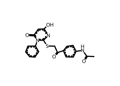 CC(=O)Nc1ccc(C(=O)CSc2nc(O)cc(=O)n2-c2ccccc2)cc1